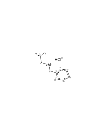 CC(C)[CH2][Al][CH2]c1ccccc1.Cl